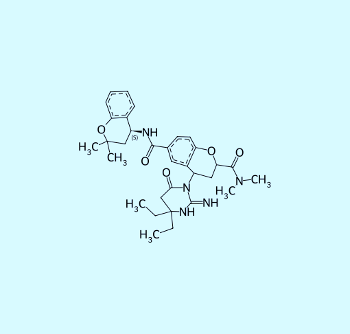 CCC1(CC)CC(=O)N(C2CC(C(=O)N(C)C)Oc3ccc(C(=O)N[C@H]4CC(C)(C)Oc5ccccc54)cc32)C(=N)N1